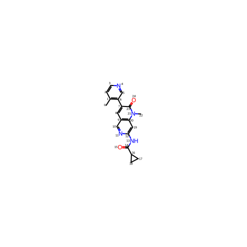 Cc1ccncc1-c1cc2cnc(NC(=O)C3CC3)cc2n(C)c1=O